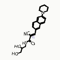 N#C/C(=C\c1ccc2cc(N3CCCCC3)ccc2c1)C(=O)NCC(O)CO